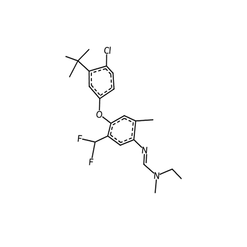 CCN(C)C=Nc1cc(C(F)F)c(Oc2ccc(Cl)c(C(C)(C)C)c2)cc1C